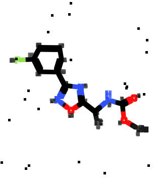 CCC(NC(=O)OC(C)(C)C)c1nc(-c2cccc(F)c2)no1